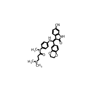 CN(C)CCC(=O)N(C)c1ccc(NC(=C2C(=O)Nc3cc(C#N)ccc32)c2ccc3c(c2)OCCO3)cc1